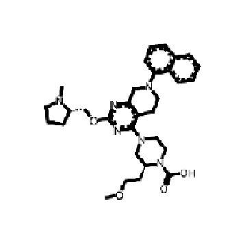 COCC[C@H]1CN(c2nc(OC[C@@H]3CCCN3C)nc3c2CCN(c2cccc4ccccc24)C3)CCN1C(=O)O